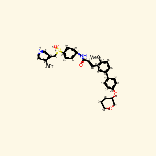 CCCc1ccncc1C[S+]([O-])c1ccc(NC(=O)/C=C/c2cc(-c3ccc(OC4CCCOC4)cc3)ccc2OC)cc1